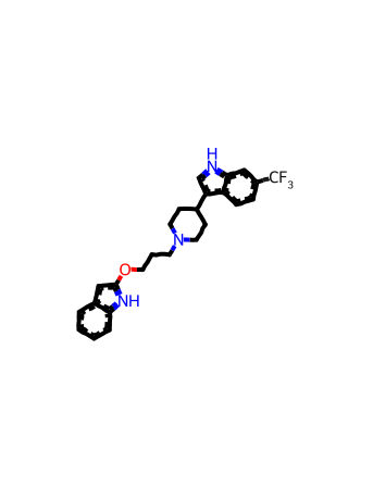 FC(F)(F)c1ccc2c(C3CCN(CCCOc4cc5ccccc5[nH]4)CC3)c[nH]c2c1